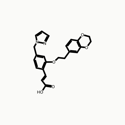 O=C(O)/C=C/c1ccc(Cn2cccn2)cc1OCCc1ccc2c(c1)OCCO2